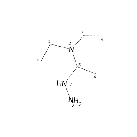 CCN(CC)C(C)NN